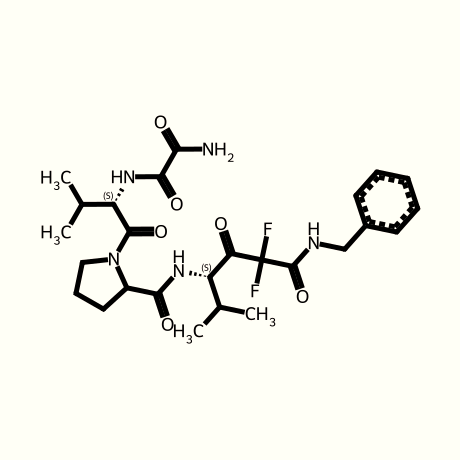 CC(C)[C@H](NC(=O)C(N)=O)C(=O)N1CCCC1C(=O)N[C@H](C(=O)C(F)(F)C(=O)NCc1ccccc1)C(C)C